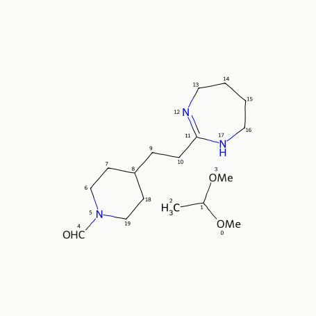 COC(C)OC.O=CN1CCC(CCC2=NCCCCN2)CC1